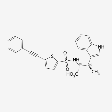 C[C@H](c1c[nH]c2ccccc12)[C@@H](NS(=O)(=O)c1ccc(C#Cc2ccccc2)s1)C(=O)O